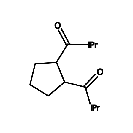 CC(C)C(=O)C1CCCC1C(=O)C(C)C